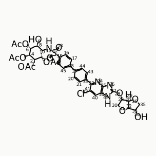 CC(=O)OC[C@@H](OC(C)=O)[C@@H](OC(C)=O)[C@H](OC(C)=O)[C@@H](O)CNS(=O)(=O)c1ccc(-c2ccc(-c3nc4nc(O[C@@H]5COC6[C@H](O)CO[C@@H]65)[nH]c4cc3Cl)cc2)cc1